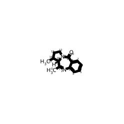 CC1=Nc2ccccc2C(=O)N2CCC(C)[C@@H]12